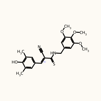 COc1cc(CNC(=S)/C(C#N)=C/c2cc(C)c(O)c(C)c2)cc(OC)c1OC